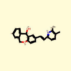 Cc1ccc(C=Cc2ccc3c(c2)C(O)c2ccccc2CO3)nc1C(C)C